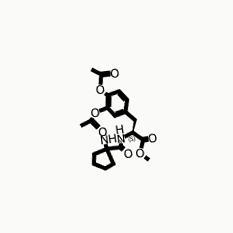 COC(=O)[C@H](Cc1ccc(OC(C)=O)c(OC(C)=O)c1)NC(=O)C1(N)CCCC1